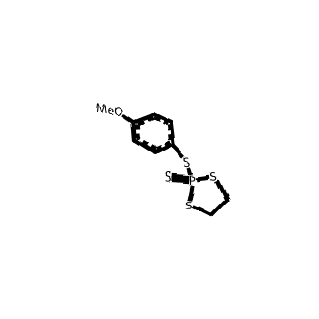 COc1ccc(SP2(=S)SCCS2)cc1